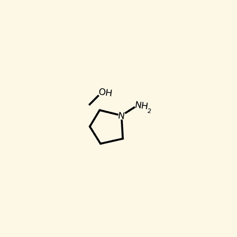 CO.NN1CCCC1